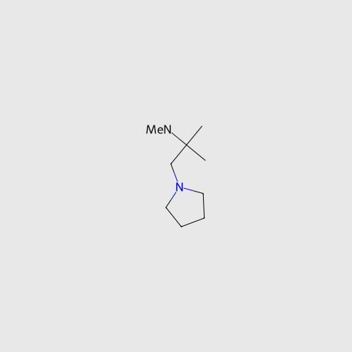 [CH2]NC(C)(C)CN1CCCC1